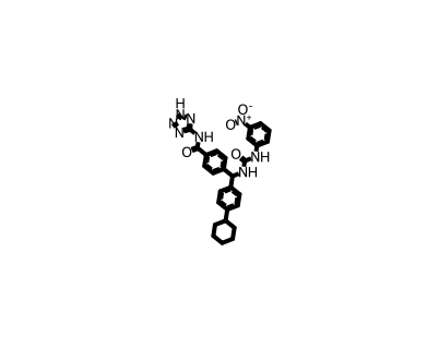 O=C(Nc1cccc([N+](=O)[O-])c1)NC(c1ccc(C(=O)Nc2nn[nH]n2)cc1)c1ccc(C2CCCCC2)cc1